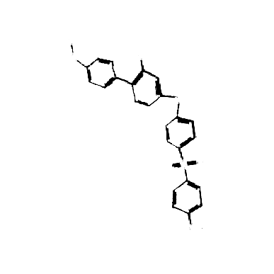 COc1ccc(-c2ccc(Oc3ccc(S(=O)(=O)c4ccc(C)cc4)cc3)cc2C)cc1